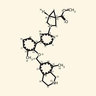 COC(=O)[C@]12C[C@H]1CN(c1nccc(-c3cccc(C)c3OCc3cc(C)c4c(c3)CCNC4)n1)C2